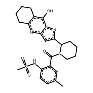 Cc1ccc(NS(C)(=O)=O)c(C(=O)N2CCCCC2c2cc3nc4c(c(O)n3n2)CCCC4)c1